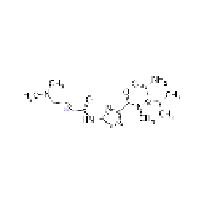 CC(C)[C@@H](C(N)=O)N(C)C(=O)c1nc(NC(=O)/C=C/CN(C)C)cs1